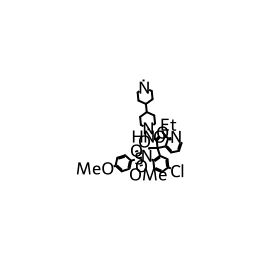 CCOc1ncccc1C1(C(=O)NN2CCC(C3CCN(C)CC3)CC2)C(=O)N(S(=O)(=O)c2ccc(OC)cc2OC)c2ccc(Cl)cc21